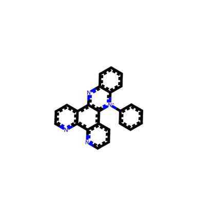 c1ccc(-[n+]2c3ccccc3nc3c4cccnc4c4ncccc4c32)cc1